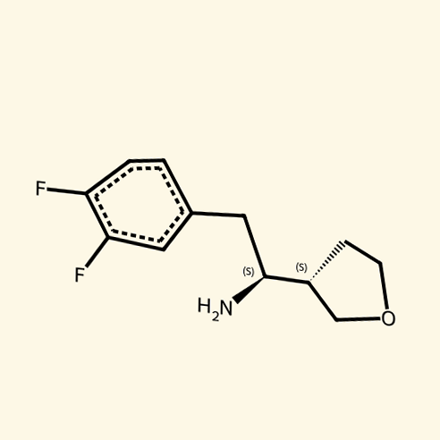 N[C@@H](Cc1ccc(F)c(F)c1)[C@@H]1CCOC1